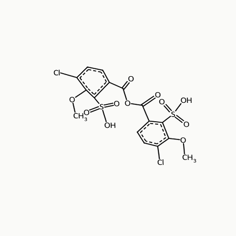 COc1c(Cl)ccc(C(=O)OC(=O)c2ccc(Cl)c(OC)c2S(=O)(=O)O)c1S(=O)(=O)O